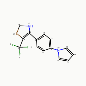 FC(F)(F)C1=C(c2ccc(-n3cccc3)cc2)NCS1